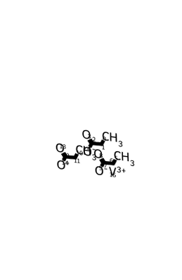 CCC(=O)[O-].CCC(=O)[O-].CCC(=O)[O-].[V+3]